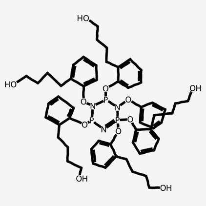 OCCCCc1ccccc1ON1P(Oc2ccccc2CCCCO)N=P(Oc2ccccc2CCCCO)(Oc2ccccc2CCCCO)N(Oc2ccccc2)P1Oc1ccccc1CCCCO